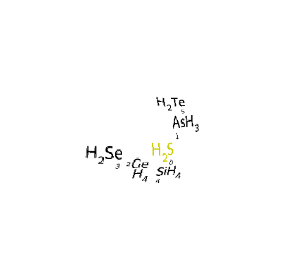 S.[AsH3].[GeH4].[SeH2].[SiH4].[TeH2]